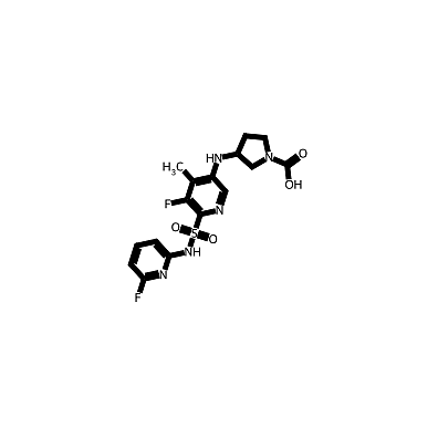 Cc1c(NC2CCN(C(=O)O)C2)cnc(S(=O)(=O)Nc2cccc(F)n2)c1F